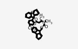 Cc1ccc(C(OC(=O)C[C@@H](C)N(C)C(=O)OCC2c3ccccc3-c3ccccc32)(c2ccccc2)c2ccccc2Cl)cc1